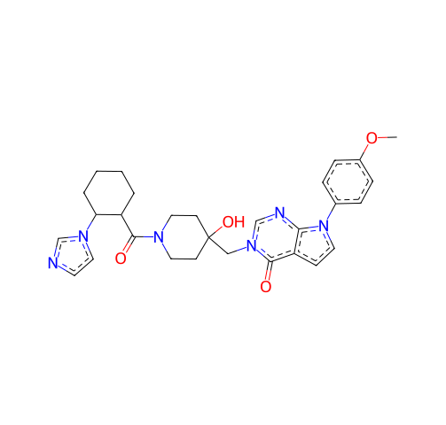 COc1ccc(-n2ccc3c(=O)n(CC4(O)CCN(C(=O)C5CCCCC5n5ccnc5)CC4)cnc32)cc1